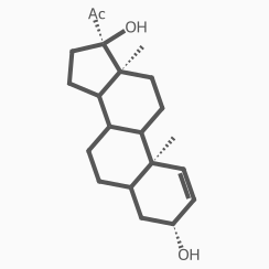 CC(=O)[C@@]1(O)CCC2C3CCC4C[C@@H](O)C=C[C@]4(C)C3CC[C@@]21C